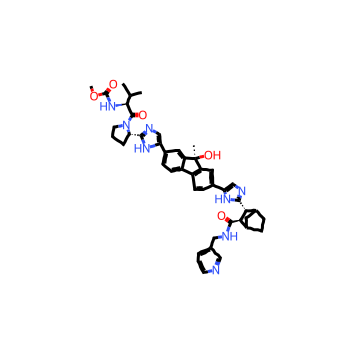 COC(=O)N[C@H](C(=O)N1CCC[C@H]1c1ncc(-c2ccc3c(c2)[C@@](C)(O)c2cc(-c4cnc([C@@H]5C6CCC(C6)[C@H]5C(=O)NCc5cccnc5)[nH]4)ccc2-3)[nH]1)C(C)C